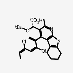 C=C(/C(O)=C\C(Cl)=C/C)c1c([C@H](OC(C)(C)C)C(=O)O)c(C)nc2sc3c(c12)CCCC3